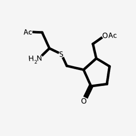 CC(=O)CC(N)SCC1C(=O)CCC1COC(C)=O